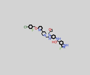 OC(Nc1ccc2c(c1)nc(CN1CC=C(c3cccc(OCc4ccc(Cl)cc4F)n3)CC1)n2C[C@@H]1CCO1)c1ccc2[nH]nc(F)c2c1